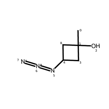 CC1(O)CC(N=[N+]=[N-])C1